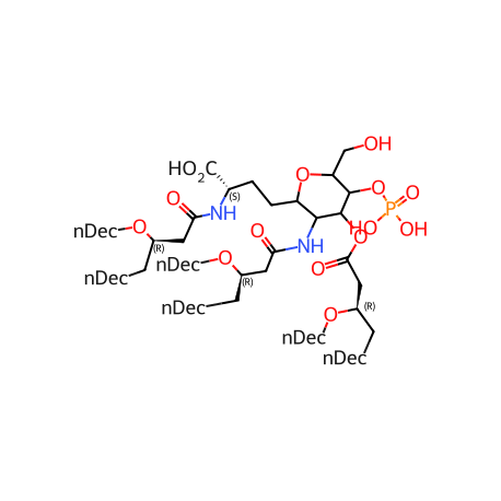 CCCCCCCCCCC[C@H](CC(=O)NC1C(CC[C@H](NC(=O)C[C@@H](CCCCCCCCCCC)OCCCCCCCCCC)C(=O)O)OC(CO)C(OP(=O)(O)O)C1OC(=O)C[C@@H](CCCCCCCCCCC)OCCCCCCCCCC)OCCCCCCCCCC